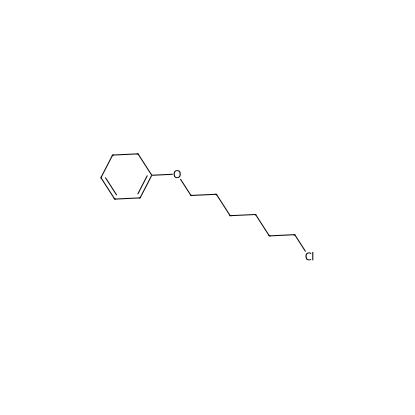 ClCCCCCCOC1=CC=CCC1